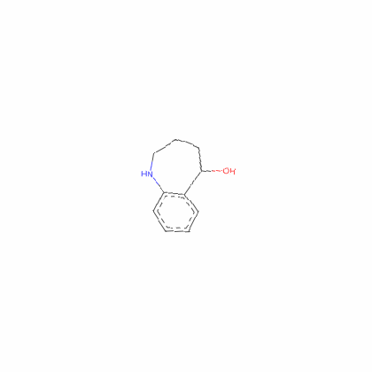 OC1CCCNc2ccccc21